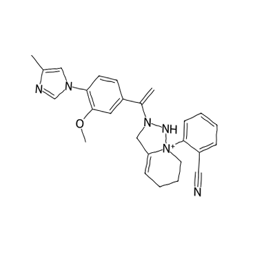 C=C(c1ccc(-n2cnc(C)c2)c(OC)c1)N1CC2=CCCC[N+]2(c2ccccc2C#N)N1